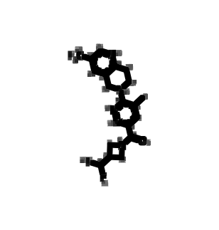 Cc1cc(C(=O)N2CC(C(F)F)C2)nnc1N1CCc2ncc(C(F)(F)F)cc2C1